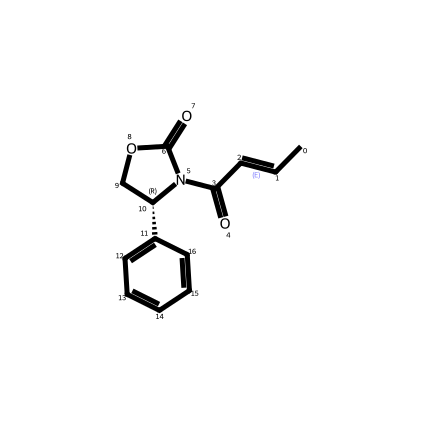 C/C=C/C(=O)N1C(=O)OC[C@H]1c1ccccc1